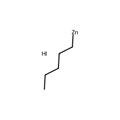 CCCC[CH2][Zn].I